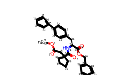 CCCCOC(=O)CC1(C(=O)N[C@@H](Cc2ccc(-c3ccccc3)cc2)C(=O)OCc2ccccc2)CCCC1